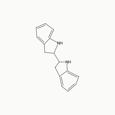 c1ccc2c(c1)CC(C1Cc3ccccc3N1)N2